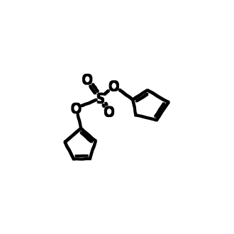 O=S(=O)(OC1=CC=CC1)OC1=CC=CC1